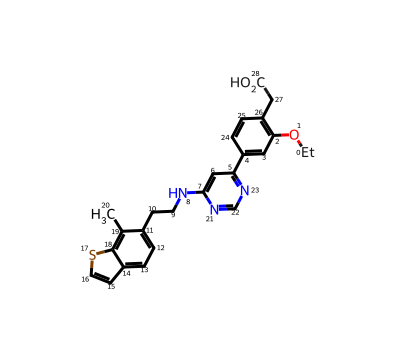 CCOc1cc(-c2cc(NCCc3ccc4ccsc4c3C)ncn2)ccc1CC(=O)O